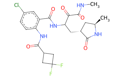 CNC(=O)C(=O)C(C[C@@H]1C[C@@H](C)NC1=O)NC(=O)c1cc(Cl)ccc1NC(=O)C1CC(F)(F)C1